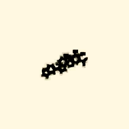 CN(C)[C@H]1C[C@@]23CC[C@]4(O2)C2CC=C(c5ccc6ocnc6c5)[C@@]2(C)CCC4(O)CC3[C@@H](O)[C@@H]1O